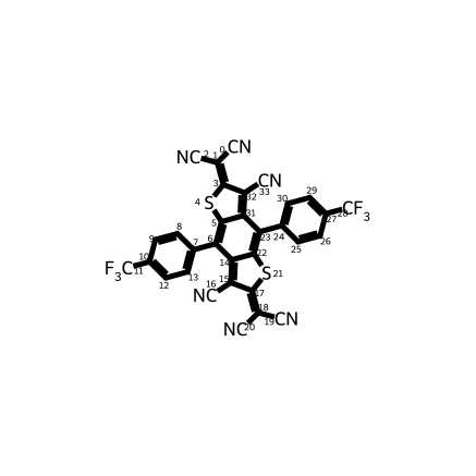 N#CC(C#N)=c1sc2c(-c3ccc(C(F)(F)F)cc3)c3c(C#N)c(=C(C#N)C#N)sc3c(-c3ccc(C(F)(F)F)cc3)c2c1C#N